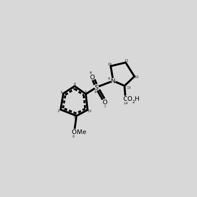 COc1cccc(S(=O)(=O)N2CCCC2C(=O)O)c1